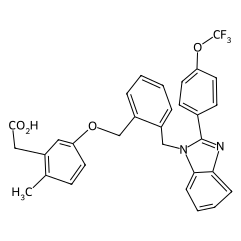 Cc1ccc(OCc2ccccc2Cn2c(-c3ccc(OC(F)(F)F)cc3)nc3ccccc32)cc1CC(=O)O